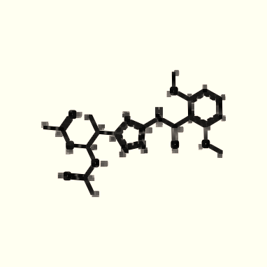 COc1cccc(OC)c1C(=O)Nc1nnc(C(C)C(OC(C)=O)OC(C)=O)s1